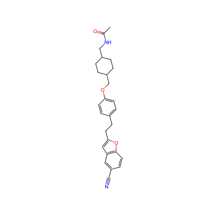 CC(=O)NCC1CCC(COc2ccc(CCc3cc4cc(C#N)ccc4o3)cc2)CC1